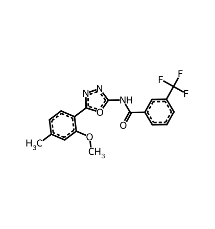 COc1cc(C)ccc1-c1nnc(NC(=O)c2cccc(C(F)(F)F)c2)o1